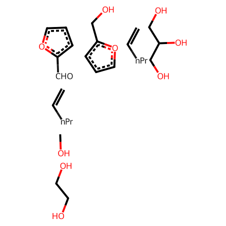 C=CCCC.C=CCCC.CO.O=Cc1ccco1.OCC(O)CO.OCCO.OCc1ccco1